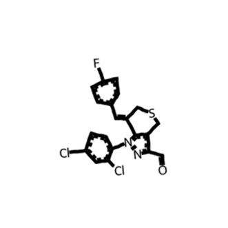 O=Cc1nn(-c2ccc(Cl)cc2Cl)c2c1CSC/C2=C\c1ccc(F)cc1